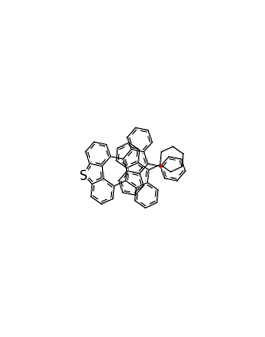 c1ccc(-c2c3ccccc3c(-c3cccc4sc5cccc(-c6c7ccccc7c(C7CCCCC7)c7ccccc67)c5c34)c3ccccc23)cc1